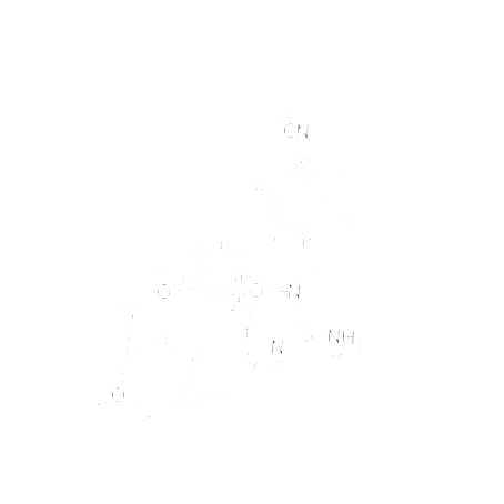 CN1OC2(CCC3CCC(COc4ccc(-c5cccc(C#N)c5)cc42)OC3)N=C1N